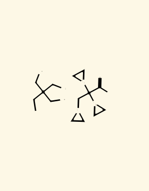 CCC(CO)(CO)CO.O=C(O)C(CN1CC1)(N1CC1)N1CC1